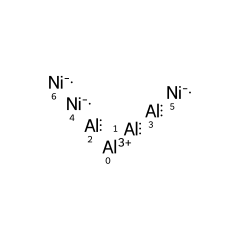 [Al+3].[Al].[Al].[Al].[Ni-].[Ni-].[Ni-]